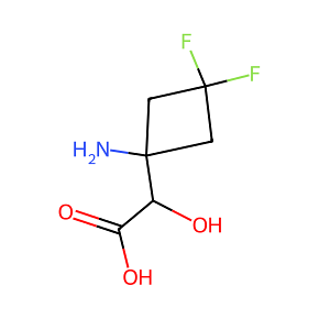 NC1(C(O)C(=O)O)CC(F)(F)C1